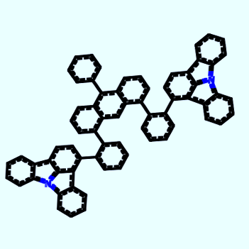 c1ccc(-c2c3cccc(-c4ccccc4-c4ccc5c6ccccc6n6c7ccccc7c4c56)c3cc3c(-c4ccccc4-c4ccc5c6ccccc6n6c7ccccc7c4c56)cccc23)cc1